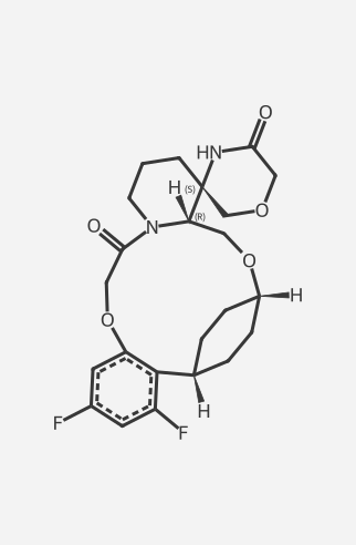 O=C1COC[C@@]2(CCCN3C(=O)COc4cc(F)cc(F)c4[C@H]4CC[C@H](CC4)OC[C@H]32)N1